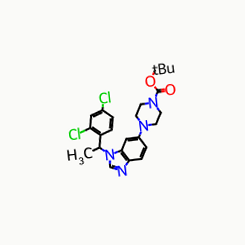 CC(c1ccc(Cl)cc1Cl)n1cnc2ccc(N3CCN(C(=O)OC(C)(C)C)CC3)cc21